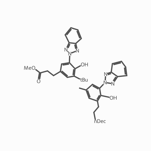 CCCCCCCCCCCCc1cc(C)cc(-n2nc3ccccc3n2)c1O.COC(=O)CCc1cc(-n2nc3ccccc3n2)c(O)c(C(C)(C)C)c1